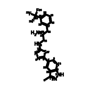 Cc1n[nH]c2ncc(-c3nnc(NC[C@H](N)Cc4cccc(C(F)(F)F)c4)s3)cc12